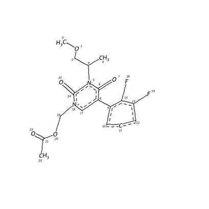 COCC(C)n1c(=O)c(-c2cccc(F)c2F)cn(COC(C)=O)c1=O